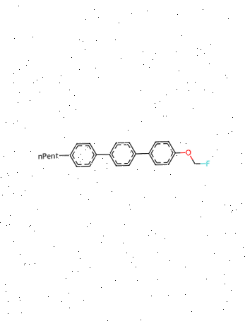 CCCCCc1ccc(-c2ccc(-c3ccc(OCF)cc3)cc2)cc1